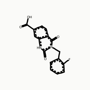 O=C(O)c1ccc2c(=O)n(Cc3ccccc3F)c(=O)[nH]c2c1